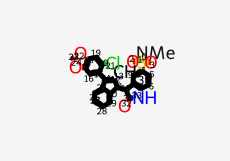 CNS(=O)(=O)c1ccc2c(c1)C(C1C(C)=C(c3cc4c(cc3Cl)OCO4)c3ccccc31)C(=O)N2